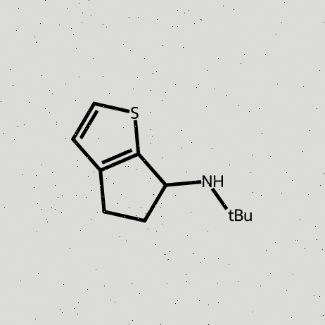 CC(C)(C)NC1CCc2ccsc21